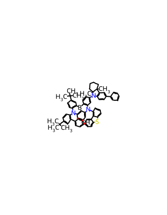 Cc1cc2c3c(c1)N(c1cccc4sc5ccccc5c14)c1cc(N4c5ccc(-c6ccccc6)cc5C5(C)CCCCC45C)ccc1B3c1cc(C(C)(C)C)ccc1N2c1ccc(C(C)(C)C)cc1-c1ccccc1